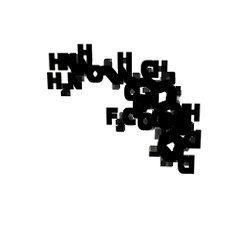 CC(C(=O)NCCONC(=N)N)c1ccc(NS(=O)(=O)c2cccc(Cl)c2Cl)c(=O)n1OC(=O)C(F)(F)F